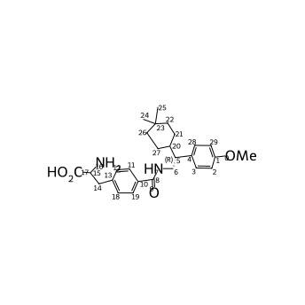 COc1ccc([C@H](CNC(=O)c2ccc(CC(N)C(=O)O)cc2)C2CCC(C)(C)CC2)cc1